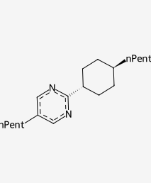 CCCCCc1cnc([C@H]2CC[C@H](CCCCC)CC2)nc1